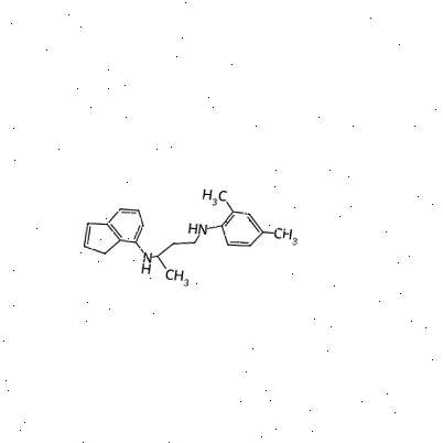 Cc1ccc(NCCC(C)Nc2cccc3c2CC=C3)c(C)c1